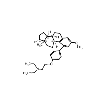 CCN(CC)CCOc1ccc(-c2cc(OC)cc3c2[C@H]2CC[C@]4(C)[C@H](F)CC[C@H]4[C@@H]2CC3)cc1